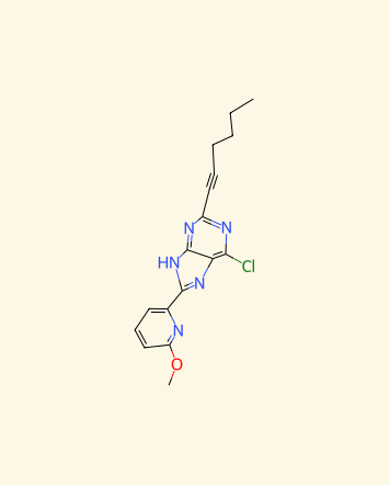 CCCCC#Cc1nc(Cl)c2nc(-c3cccc(OC)n3)[nH]c2n1